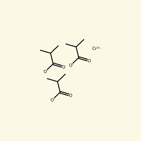 CC(C)C(=O)[O-].CC(C)C(=O)[O-].CC(C)C(=O)[O-].[Cr+3]